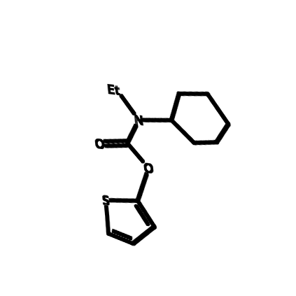 CCN(C(=O)Oc1cccs1)C1CCCCC1